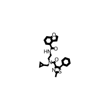 Cc1nc(C(=O)N(CCNC(=O)c2cccc3occc23)CC2CC2)c(-c2ccccc2)s1